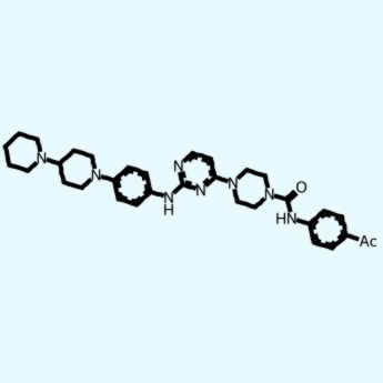 CC(=O)c1ccc(NC(=O)N2CCN(c3ccnc(Nc4ccc(N5CCC(N6CCCCC6)CC5)cc4)n3)CC2)cc1